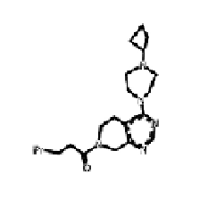 CC(C)CCC(=O)N1CCc2c(ncnc2N2CCN(C3CCC3)CC2)C1